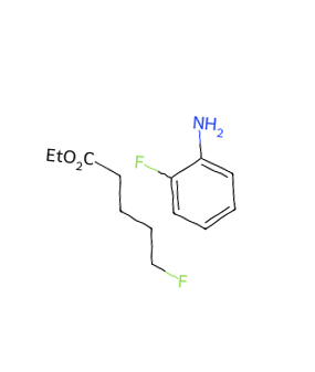 CCOC(=O)CCCCF.Nc1ccccc1F